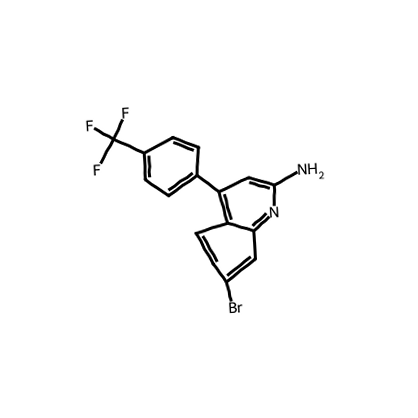 Nc1cc(-c2ccc(C(F)(F)F)cc2)c2ccc(Br)cc2n1